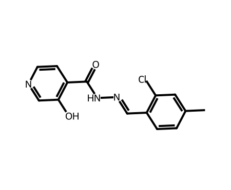 Cc1ccc(C=NNC(=O)c2ccncc2O)c(Cl)c1